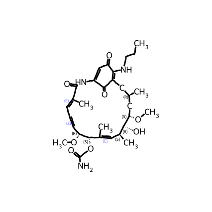 CCCNC1=C2C[C@@H](C)C[C@H](OC)[C@H](O)[C@@H](C)/C=C(\C)[C@H](OC(N)=O)[C@H](OC)/C=C\C=C(/C)C(=O)NC(=CC1=O)C2=O